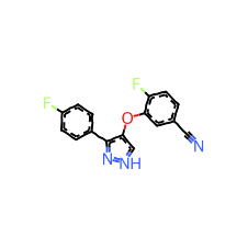 N#Cc1ccc(F)c(Oc2c[nH]nc2-c2ccc(F)cc2)c1